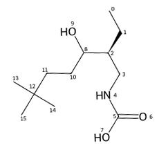 CC[C@@H](CNC(=O)O)C(O)CCC(C)(C)C